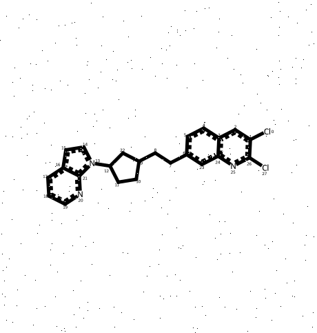 Clc1cc2ccc(CCC3CCC(n4ccc5cccnc54)C3)cc2nc1Cl